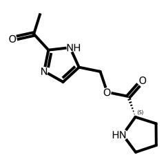 CC(=O)c1ncc(COC(=O)[C@@H]2CCCN2)[nH]1